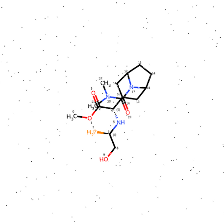 COC(=O)[C@@H](N[C@H](P)CO)C1CC2CCC(C1)N2C(=O)N(C)C